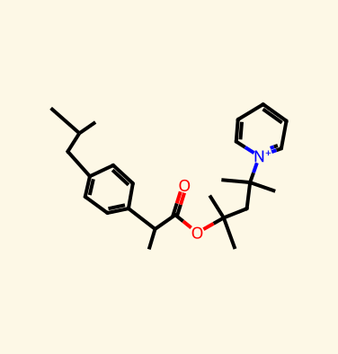 CC(C)Cc1ccc(C(C)C(=O)OC(C)(C)CC(C)(C)[n+]2ccccc2)cc1